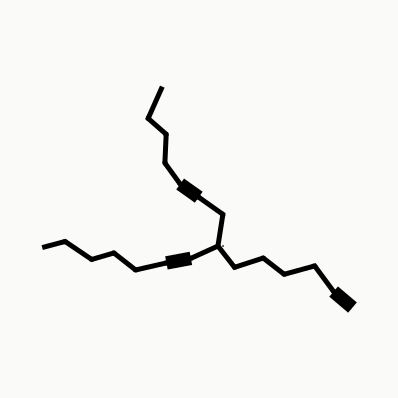 C#CCCCC[C](C#CCCCCC)CC#CCCCC